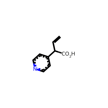 C=CC(C(=O)O)c1ccncc1